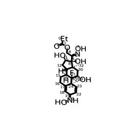 CCC(=O)OC/C(=N\O)[C@@]1(O)[C@H](O)C[C@H]2[C@@H]3CCC4=CC(NO)C=C[C@]4(C)[C@@]3(F)[C@@H](O)C[C@@]21C